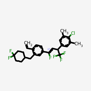 C=Cc1ccc(/C(F)=C/C(c2cc(C)c(Cl)c(C)c2)C(F)(F)F)cc1CC1CCC(F)(F)CC1